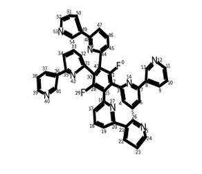 Fc1c(-c2cccc(-c3cccnc3)n2)c(-c2cccc(-c3cccnc3)n2)c(F)c(-c2cccc(-c3cccnc3)n2)c1-c1cccc(-c2cccnc2)n1